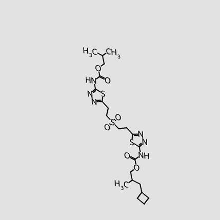 CC(C)COC(=O)Nc1nnc(CCS(=O)(=O)CCc2nnc(NC(=O)OCC(C)CC3CCC3)s2)s1